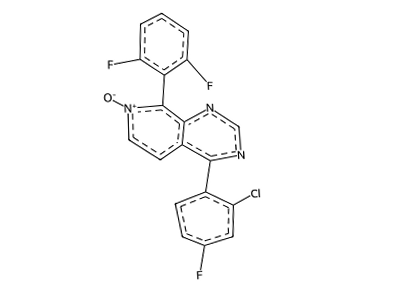 [O-][n+]1ccc2c(-c3ccc(F)cc3Cl)ncnc2c1-c1c(F)cccc1F